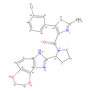 Cc1nc(C(=O)N2CCCC2c2nc3c4c(ccc3[nH]2)OCCO4)c(-c2cccc(Cl)c2)s1